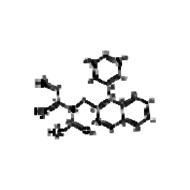 C=C(C=N)N(Cc1ncc2ccccc2c1-c1cncnc1)C(C)=O